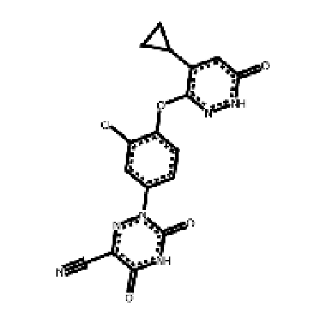 N#Cc1nn(-c2ccc(Oc3n[nH]c(=O)cc3C3CC3)c(Cl)c2)c(=O)[nH]c1=O